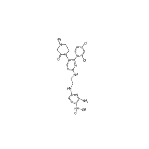 CC(C)N1CCN(c2ccc(NCCNc3ccc([NH+]([O-])O)c(N)n3)nc2-c2ccc(Cl)cc2Cl)C(=O)C1